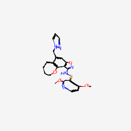 COc1ccnc(OC)c1SNc1noc2cc(Cn3cccn3)c3c(c12)OCCCC3